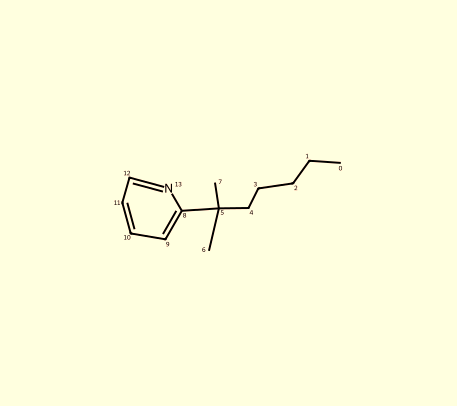 CCCCCC(C)(C)c1ccccn1